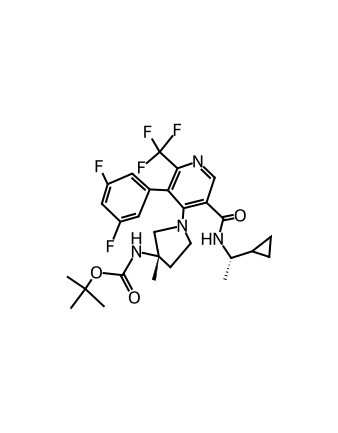 C[C@H](NC(=O)c1cnc(C(F)(F)F)c(-c2cc(F)cc(F)c2)c1N1CC[C@](C)(NC(=O)OC(C)(C)C)C1)C1CC1